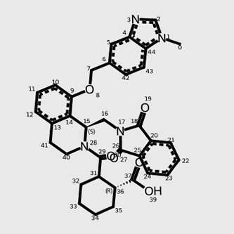 Cn1cnc2cc(COc3cccc4c3[C@@H](CN3C(=O)c5ccccc5C3=O)N(C(=O)C3CCCC[C@H]3C(=O)O)CC4)ccc21